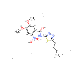 CCCCc1nnc(NC(=O)c2cc(OC)c(OC)cc2[N+](=O)[O-])s1